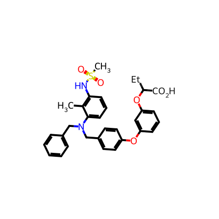 CCC(Oc1cccc(Oc2ccc(CN(Cc3ccccc3)c3cccc(NS(C)(=O)=O)c3C)cc2)c1)C(=O)O